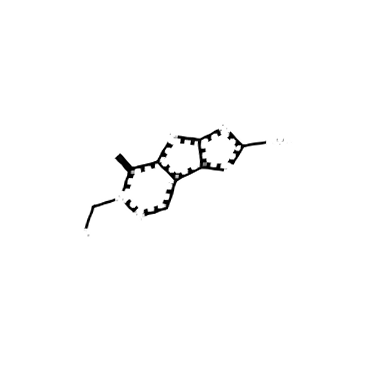 CSc1nc2[nH]c3c(=O)n(CO)ncc3c2s1